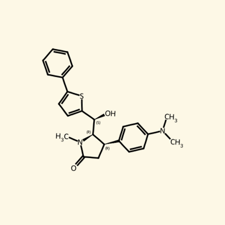 CN(C)c1ccc([C@H]2CC(=O)N(C)[C@H]2[C@H](O)c2ccc(-c3ccccc3)s2)cc1